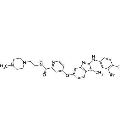 CC(C)c1cc(Nc2nc3cc(Oc4ccnc(C(=O)NCCN5CCN(C)CC5)c4)ccc3n2C)ccc1F